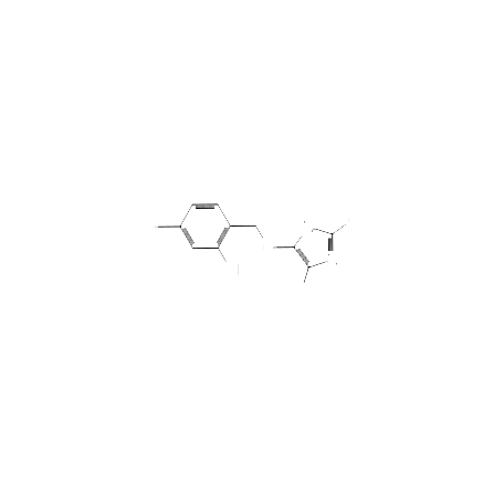 Clc1ccc(COc2[nH]c(Cl)nc2Cl)c(Cl)c1